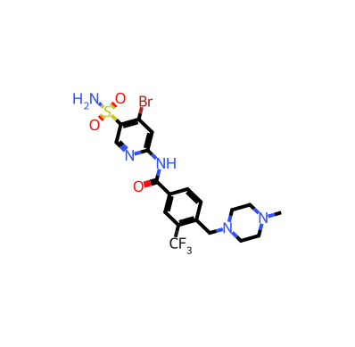 CN1CCN(Cc2ccc(C(=O)Nc3cc(Br)c(S(N)(=O)=O)cn3)cc2C(F)(F)F)CC1